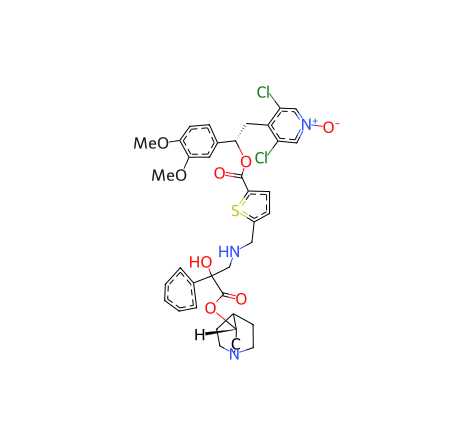 COc1ccc([C@H](Cc2c(Cl)c[n+]([O-])cc2Cl)OC(=O)c2ccc(CNCC(O)(C(=O)O[C@H]3CN4CCC3CC4)c3ccccc3)s2)cc1OC